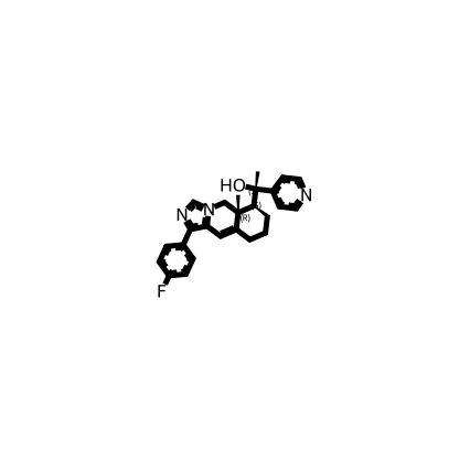 C[C@]12Cn3cnc(-c4ccc(F)cc4)c3C=C1CCC[C@@H]2[C@](C)(O)c1ccncc1